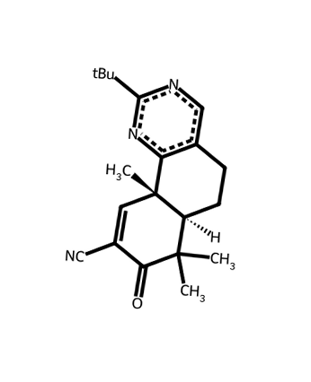 CC(C)(C)c1ncc2c(n1)[C@@]1(C)C=C(C#N)C(=O)C(C)(C)[C@@H]1CC2